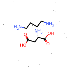 NCCCCN.N[C@@H](CC(=O)O)C(=O)O